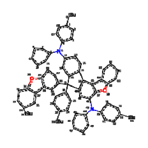 CC(C)(C)c1ccc(N(c2ccccc2)c2ccc3c(c2)C(c2ccc(C(C)(C)C)cc2)(c2ccc4oc5ccc(C(C)(C)C)cc5c4c2)c2cc(N(c4ccccc4)c4ccc(C(C)(C)C)cc4)c4oc5ccccc5c4c2-3)cc1